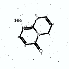 Br.O=c1ccnc2n1CC=CS2